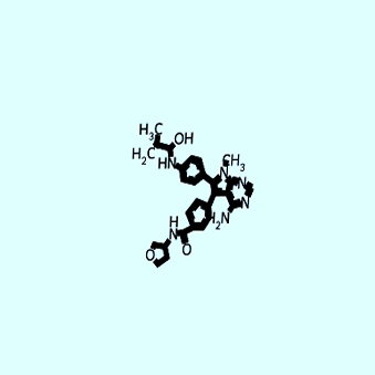 C=C(C)C(O)Nc1ccc(-c2c(-c3ccc(C(=O)NC4CCOC4)cc3)c3c(N)ncnc3n2C)cc1